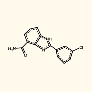 NC(=O)c1cccc2[nH]c(-c3cccc(Cl)c3)nc12